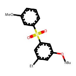 CCCCOc1cc(CC)cc(S(=O)(=O)c2cccc(OC)c2)c1